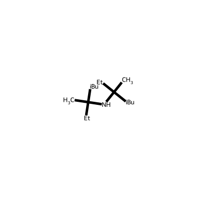 CCC(C)C(C)(CC)NC(C)(CC)C(C)CC